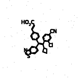 N#Cc1ccc(C(=C(c2ccc(C=CC(=O)O)cc2)c2ccc3scnc3c2)C2CCC2)c(Cl)c1